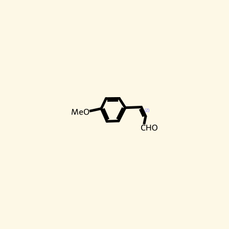 COc1ccc(/C=C\C=O)cc1